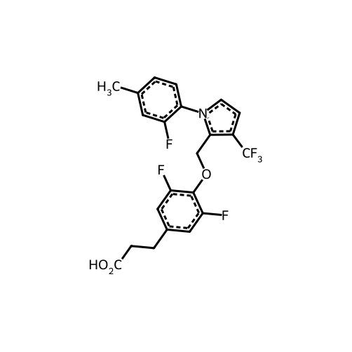 Cc1ccc(-n2ccc(C(F)(F)F)c2COc2c(F)cc(CCC(=O)O)cc2F)c(F)c1